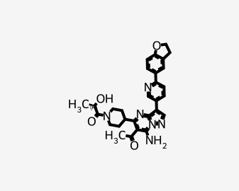 CC(=O)c1c(C2CCN(C(=O)[C@@H](C)O)CC2)nc2c(-c3ccc(-c4ccc5c(c4)CCO5)nc3)cnn2c1N